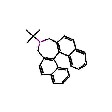 CC(C)(C)P1Cc2ccc3ccccc3c2-c2c(ccc3ccccc23)C1